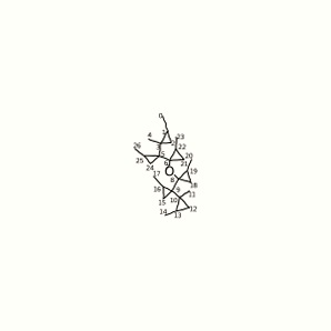 CC1CC1(C)C1(C2(OC3(C4(C5(C)CC5C)CC4C)CC3C)CC2C)CC1C